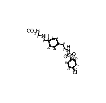 O=C(O)CNCc1ccc(CCNS(=O)(=O)c2ccc(Cl)cc2)cc1